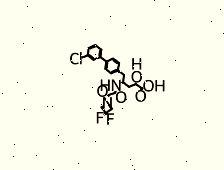 O=C(NC(Cc1ccc(-c2cccc(Cl)c2)cc1)CC(O)C(=O)O)C(=O)N1CC(F)(F)C1